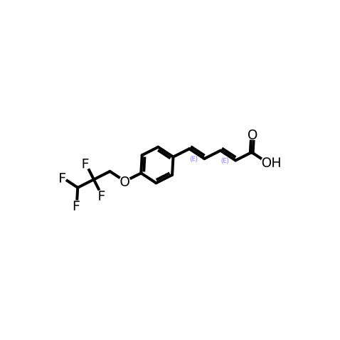 O=C(O)/C=C/C=C/c1ccc(OCC(F)(F)C(F)F)cc1